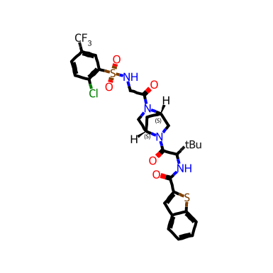 CC(C)(C)C(NC(=O)c1cc2ccccc2s1)C(=O)N1C[C@@H]2C[C@H]1CN2C(=O)CNS(=O)(=O)c1cc(C(F)(F)F)ccc1Cl